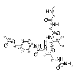 CNCC(=O)NCC(=O)N[C@@H](C(=O)N[C@H](CCCNC(N)=O)C(=O)Nc1ccc(COC(C)=O)cc1)C(C)C